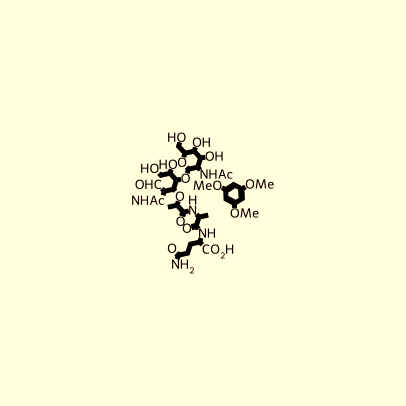 CC(=O)NC(C=O)C(OC(C)C(=O)NC(C)C(=O)NC(CCC(N)=O)C(=O)O)C(OC1OC(CO)C(O)C(O)C1NC(C)=O)C(O)CO.COc1cc(OC)cc(OC)c1